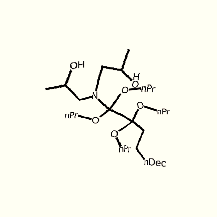 CCCCCCCCCCCCC(OCCC)(OCCC)C(OCCC)(OCCC)N(CC(C)O)CC(C)O